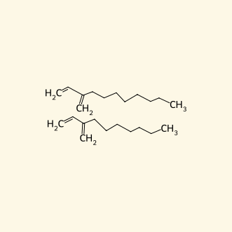 C=CC(=C)CCCCCCC.C=CC(=C)CCCCCCCC